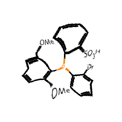 COc1cccc(OC)c1P(c1ccccc1C(C)C)c1ccccc1S(=O)(=O)O